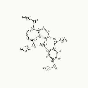 COC(=O)c1cccc(Nc2cc(OC)ccc2OC)c1C(=O)OC